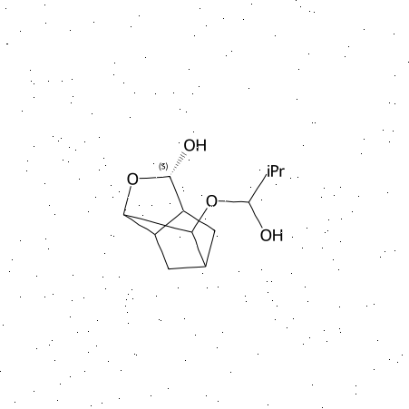 CC(C)C(O)OC1C2CC3C1O[C@H](O)C3C2